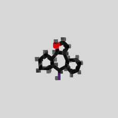 IC1c2ccccc2-c2ccoc2-c2ccccc21